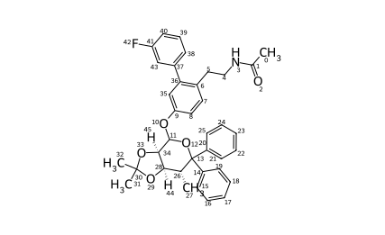 CC(=O)NCCc1ccc(OC2OC(c3ccccc3)(c3ccccc3)[C@H](C)[C@H]3OC(C)(C)O[C@@H]23)cc1-c1cccc(F)c1